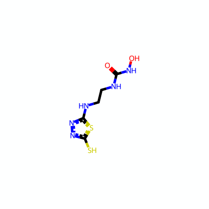 O=C(NO)NCCNc1nnc(S)s1